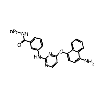 CCCNC(=O)c1cccc(Nc2nccc(Oc3ccc(N)c4ccccc34)n2)c1